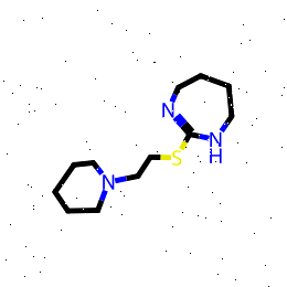 C1CCN(CCSC2=NCCCCN2)CC1